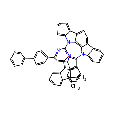 CC1(C)c2ccccc2-c2ccc(-n3c4ccccc4c4ccc5c6ccccc6n(-c6nc(-c7ccccc7)cc(-c7ccc(-c8ccccc8)cc7)n6)c5c43)cc21